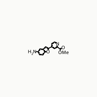 COC(=O)c1cc(-c2cc3cc(N)ccc3o2)ccn1